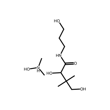 CC(C)(CO)C(O)C(=O)NCCCO.C[SiH](C)O